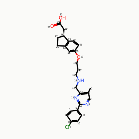 Cc1cnc(-c2ccc(Cl)cc2)nc1CNCCCOc1ccc2c(c1)CC[C@H]2CC(=O)O